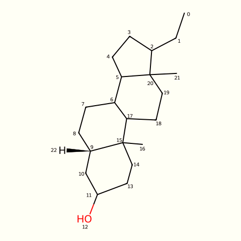 CCC1CCC2C3CC[C@H]4CC(O)CCC4(C)C3CCC12C